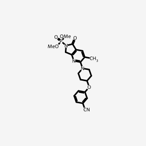 COP(=O)(OC)N1Cc2nc(N3CCC(Oc4cccc(C#N)c4)CC3)c(C)cc2C1=O